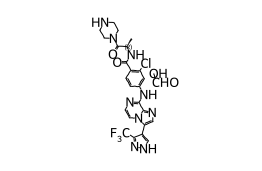 C[C@@H](NC(=O)c1ccc(Nc2nccn3c(-c4c[nH]nc4C(F)(F)F)cnc23)cc1Cl)C(=O)N1CCNCC1.O=CO